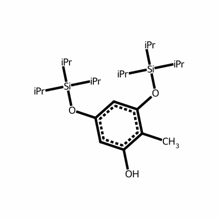 Cc1c(O)cc(O[Si](C(C)C)(C(C)C)C(C)C)cc1O[Si](C(C)C)(C(C)C)C(C)C